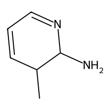 CC1C=CC=NC1N